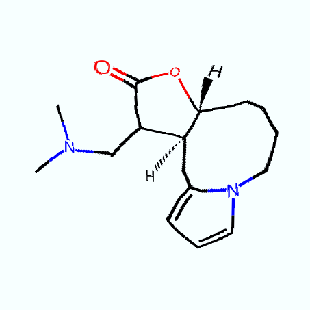 CN(C)CC1C(=O)O[C@@H]2CCCn3cccc3[C@@H]12